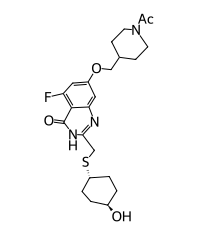 CC(=O)N1CCC(COc2cc(F)c3c(=O)[nH]c(CS[C@H]4CC[C@H](O)CC4)nc3c2)CC1